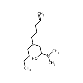 C=CCCCN(CCCC)CC(O)N(C)C